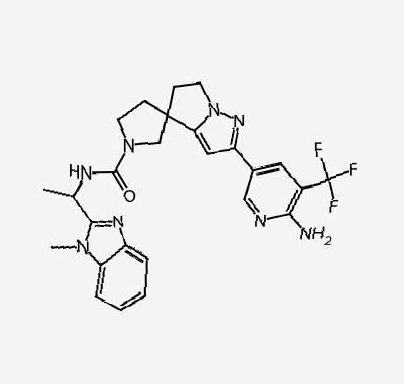 CC(NC(=O)N1CCC2(CCn3nc(-c4cnc(N)c(C(F)(F)F)c4)cc32)C1)c1nc2ccccc2n1C